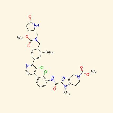 COc1cc(-c2nccc(-c3cccc(NC(=O)c4nc5c(n4C)CCN(C(=O)OC(C)(C)C)C5)c3Cl)c2Cl)ccc1CN(C[C@@H]1CCC(=O)N1)C(=O)OC(C)(C)C